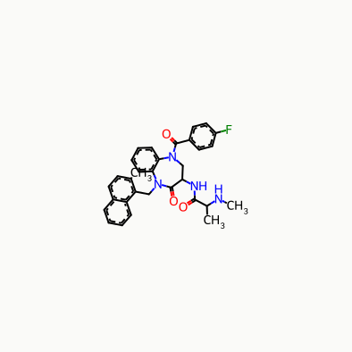 CNC(C)C(=O)NC1CN(C(=O)c2ccc(F)cc2)c2ccccc2N(Cc2c(C)ccc3ccccc23)C1=O